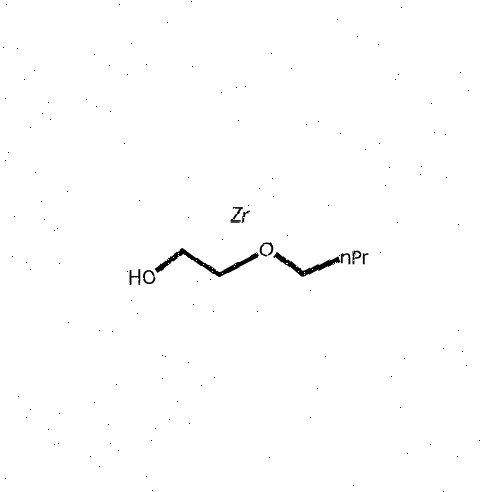 CCCCOCCO.[Zr]